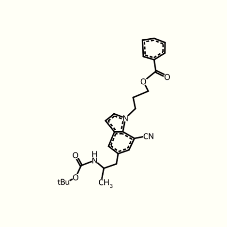 CC(Cc1cc(C#N)c2c(ccn2CCCOC(=O)c2ccccc2)c1)NC(=O)OC(C)(C)C